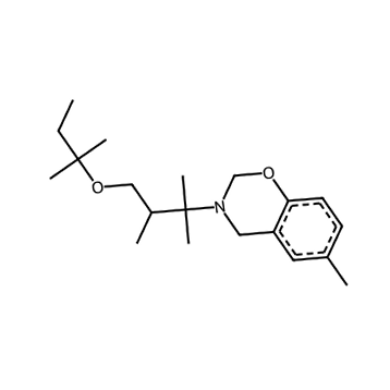 CCC(C)(C)OCC(C)C(C)(C)N1COc2ccc(C)cc2C1